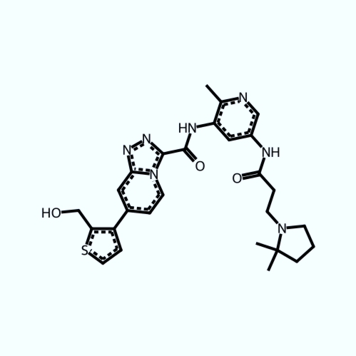 Cc1ncc(NC(=O)CCN2CCCC2(C)C)cc1NC(=O)c1nnc2cc(-c3ccsc3CO)ccn12